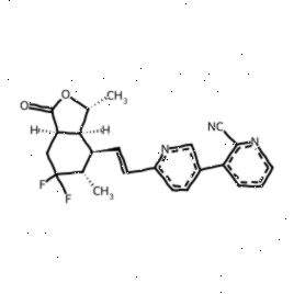 C[C@H]1OC(=O)[C@@H]2CC(F)(F)[C@@H](C)[C@H](/C=C/c3ccc(-c4cccnc4C#N)cn3)[C@H]12